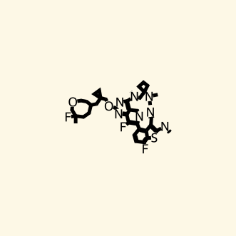 C=Nc1sc2c(F)ccc(-c3ncc4c(N(C)CC5(N(C)C)CCC5)nc(OCC5(CC6CCOCC(C)(F)CC6)CC5)nc4c3F)c2c1C#N